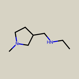 CCNCC1CCN(C)C1